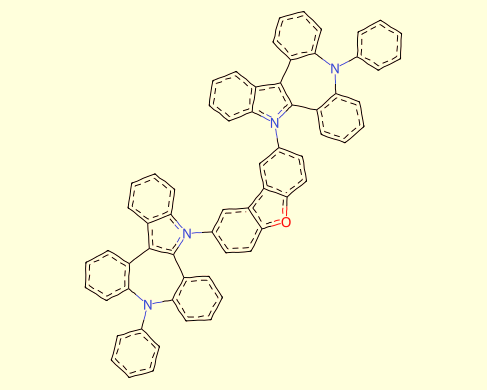 c1ccc(N2c3ccccc3-c3c(n(-c4ccc5oc6ccc(-n7c8c(c9ccccc97)-c7ccccc7N(c7ccccc7)c7ccccc7-8)cc6c5c4)c4ccccc34)-c3ccccc32)cc1